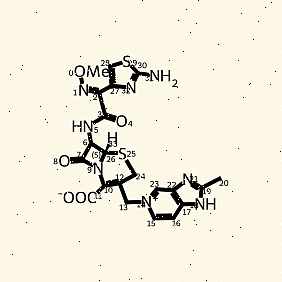 CON=C(C(=O)NC1C(=O)N2C(C(=O)[O-])=C(C[n+]3ccc4[nH]c(C)nc4c3)CS[C@@H]12)c1csc(N)n1